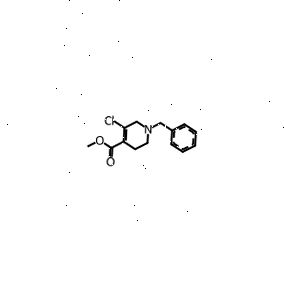 COC(=O)C1=C(Cl)CN(Cc2ccccc2)CC1